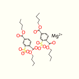 CCCCOC(=O)c1ccc(C(=O)OCCCC)c(S(=O)(=O)[O-])c1.CCCCOC(=O)c1ccc(C(=O)OCCCC)c(S(=O)(=O)[O-])c1.[Mg+2]